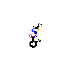 CCC1=N[N]C(=NC(=O)c2ccccc2Br)S1